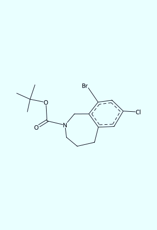 CC(C)(C)OC(=O)N1CCCc2cc(Cl)cc(Br)c2C1